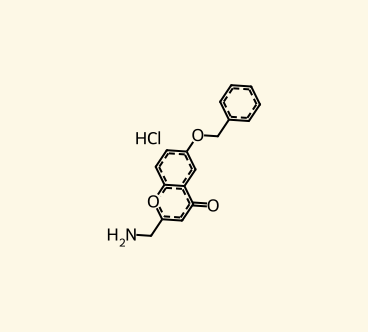 Cl.NCc1cc(=O)c2cc(OCc3ccccc3)ccc2o1